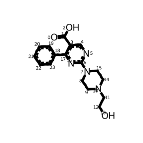 O=C(O)c1cnc(N2CCN(CCO)CC2)nc1-c1ccccc1